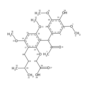 COc1cc(C(C(C)=O)c2c(OC)cc(OC)c(CCC(C)C)c2OCC(=O)O)cc(OC)c1O